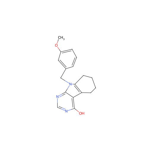 COc1cccc(Cn2c3c(c4c(O)ncnc42)CCCC3)c1